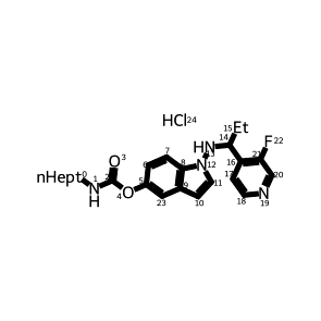 CCCCCCCNC(=O)Oc1ccc2c(ccn2NC(CC)c2ccncc2F)c1.Cl